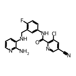 N#Cc1cnc(C(=O)Nc2ccc(F)c(CNc3cccnc3N)c2)c(Cl)c1